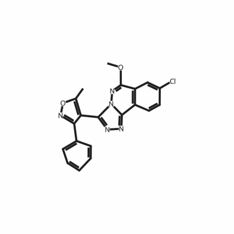 COc1nn2c(-c3c(-c4ccccc4)noc3C)nnc2c2ccc(Cl)cc12